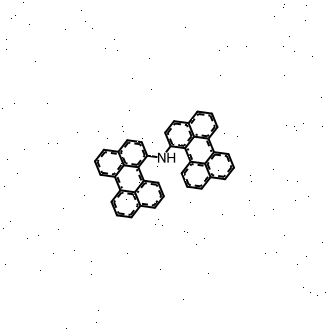 c1cc2cccc3c4c(Nc5ccc6cccc7c8cccc9cccc(c5c67)c98)ccc5cccc(c(c1)c23)c54